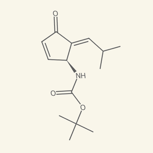 CC(C)/C=C1/C(=O)C=C[C@@H]1NC(=O)OC(C)(C)C